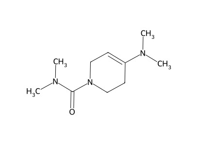 CN(C)C(=O)N1CC=C(N(C)C)CC1